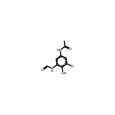 CC(=O)Nc1cc(Cl)c(O)c(NC=O)c1